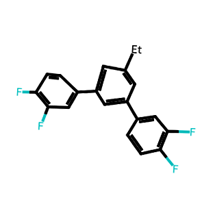 CCc1cc(-c2ccc(F)c(F)c2)cc(-c2ccc(F)c(F)c2)c1